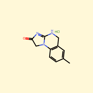 Cc1ccc2c(c1)CNC1=NC(=O)CN12.Cl